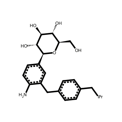 CC(C)Cc1ccc(Cc2cc([C@@H]3O[C@H](CO)[C@@H](O)[C@H](O)[C@H]3O)ccc2N)cc1